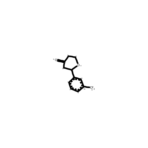 O=C1CCOC(c2cccc(C(F)(F)F)c2)C1